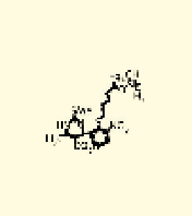 CSC1=NC(c2cccc([N+](=O)[O-])c2SCCCCC(O[SiH](C)C)C(C)(C)C)C(C(=O)O)=C(C)N1